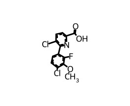 COc1c(Cl)ccc(-c2nc(C(=O)O)ccc2Cl)c1F